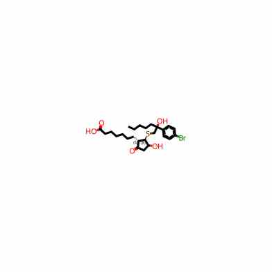 CCCCCC(O)(CS[C@H]1C(O)CC(=O)[C@@H]1CCCCCCC(=O)O)c1ccc(Br)cc1